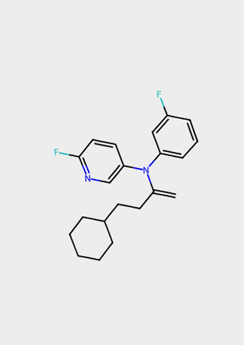 C=C(CCC1CCCCC1)N(c1ccc(F)nc1)c1cccc(F)c1